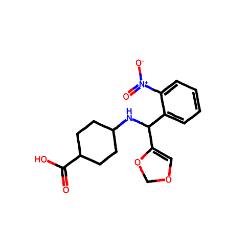 O=C(O)C1CCC(NC(C2=COCO2)c2ccccc2[N+](=O)[O-])CC1